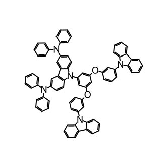 c1ccc(N(c2ccccc2)c2ccc3c(c2)c2cc(N(c4ccccc4)c4ccccc4)ccc2n3-c2cc(Oc3cccc(-n4c5ccccc5c5ccccc54)c3)cc(Oc3cccc(-n4c5ccccc5c5ccccc54)c3)c2)cc1